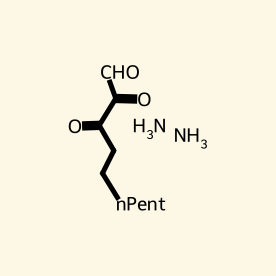 CCCCCCCC(=O)C(=O)C=O.N.N